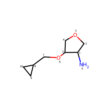 NC1COCC1OCC1CC1